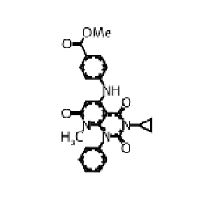 COC(=O)c1ccc(Nc2cc(=O)n(C)c3c2c(=O)n(C2CC2)c(=O)n3-c2ccccc2)cc1